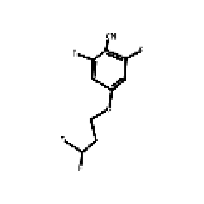 N#Cc1c(F)cc(OCCC(F)F)cc1F